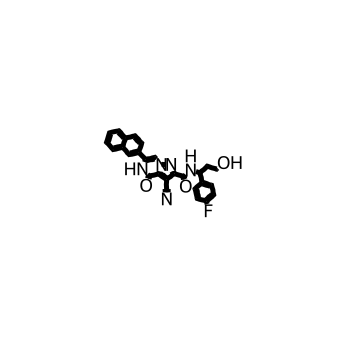 N#Cc1c(C(=O)NC(CCO)c2ccc(F)cc2)nn2cc(-c3ccc4ccccc4c3)[nH]c(=O)c12